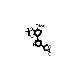 COc1ccc(-c2cncc(C3COB(O)C3)c2)c2c1OC(C)(C)CO2